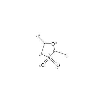 [CH2]C1CS(=O)(=O)C(C)O1